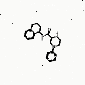 O=C(NC1CCCc2ccccc21)C1CN(c2ccccc2)CCN1